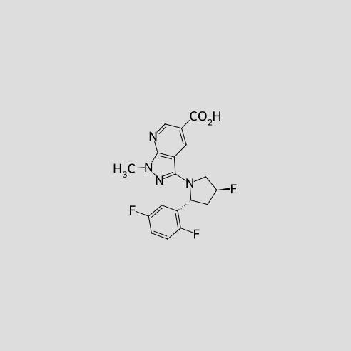 Cn1nc(N2C[C@@H](F)C[C@@H]2c2cc(F)ccc2F)c2cc(C(=O)O)cnc21